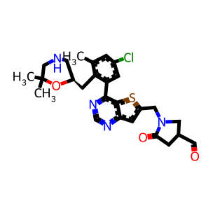 Cc1cc(Cl)cc(-c2ncnc3cc(CN4CC(C=O)CC4=O)sc23)c1C[C@@H]1CNCC(C)(C)O1